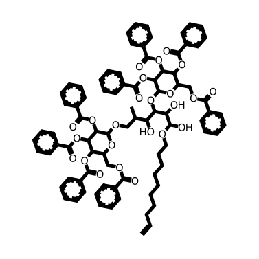 C=CCCCCCCCCOC(O)C(O)C(OC1OC(COC(=O)c2ccccc2)C(OC(=O)c2ccccc2)C(OC(=O)c2ccccc2)C1OC(=O)c1ccccc1)C(O)C(C)COC1OC(COC(=O)c2ccccc2)C(OC(=O)c2ccccc2)C(OC(=O)c2ccccc2)C1OC(=O)c1ccccc1